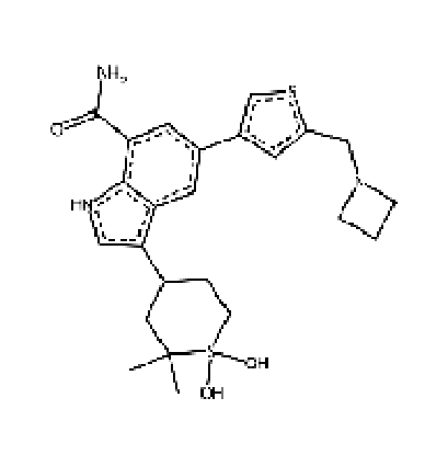 CC1(C)CC(c2c[nH]c3c(C(N)=O)cc(-c4csc(CN5CCC5)c4)cc23)CCS1(O)O